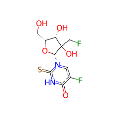 O=c1[nH]c(=S)n([C@@H]2O[C@H](CO)[C@H](O)C2(O)CF)cc1F